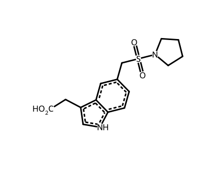 O=C(O)Cc1c[nH]c2ccc(CS(=O)(=O)N3CCCC3)cc12